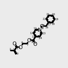 C=C(C)C(=O)OCCOC(=O)c1cc[n+](OCc2ccccc2)cc1